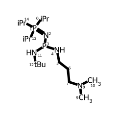 CC(C)P(=NP(NCCCN(C)C)NC(C)(C)C)(C(C)C)C(C)C